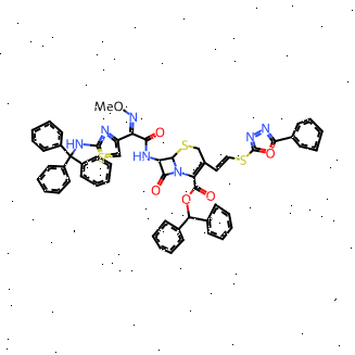 CO/N=C(/C(=O)NC1C(=O)N2C(C(=O)OC(c3ccccc3)c3ccccc3)=C(/C=C/Sc3nnc(-c4ccccc4)o3)CSC12)c1csc(NC(c2ccccc2)(c2ccccc2)c2ccccc2)n1